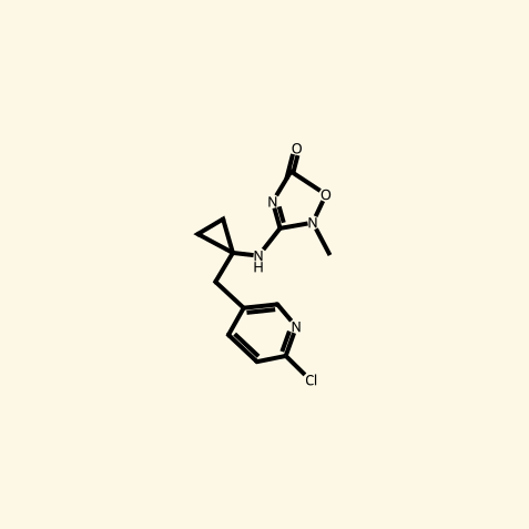 Cn1oc(=O)nc1NC1(Cc2ccc(Cl)nc2)CC1